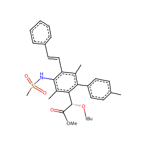 COC(=O)[C@@H](OC(C)(C)C)c1c(C)c(NS(C)(=O)=O)c(/C=C/c2ccccc2)c(C)c1-c1ccc(C)cc1